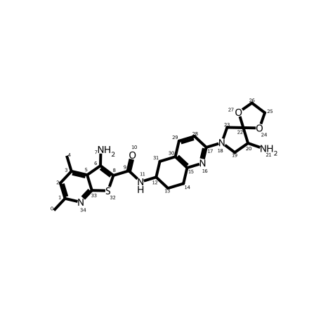 Cc1cc(C)c2c(N)c(C(=O)NC3CCc4nc(N5CC(N)C6(C5)OCCO6)ccc4C3)sc2n1